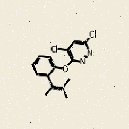 CC(C)=C(C)c1ccccc1Oc1nnc(Cl)cc1Cl